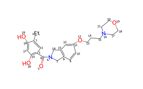 CCc1cc(C(=O)N2Cc3ccc(OCCCN4CCOCC4)cc3C2)c(O)cc1O